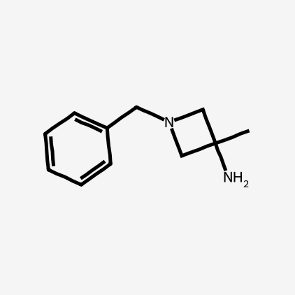 CC1(N)CN(Cc2ccccc2)C1